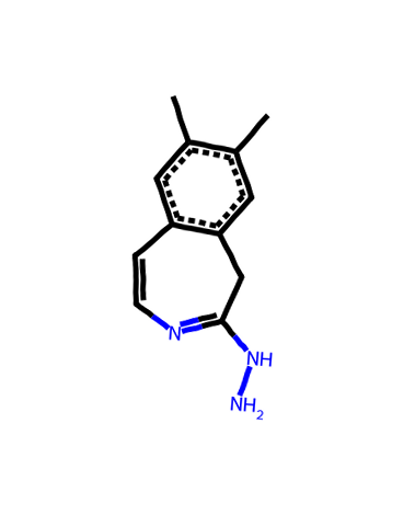 Cc1cc2c(cc1C)CC(NN)=NC=C2